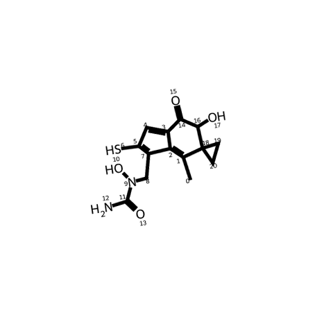 CC1=C2C(=CC(S)=C2CN(O)C(N)=O)C(=O)C(O)C12CC2